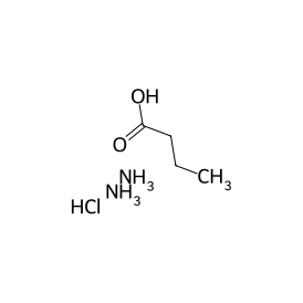 CCCC(=O)O.Cl.N.N